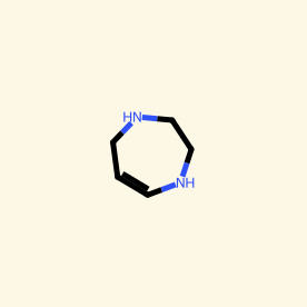 C1=CNCCNC1